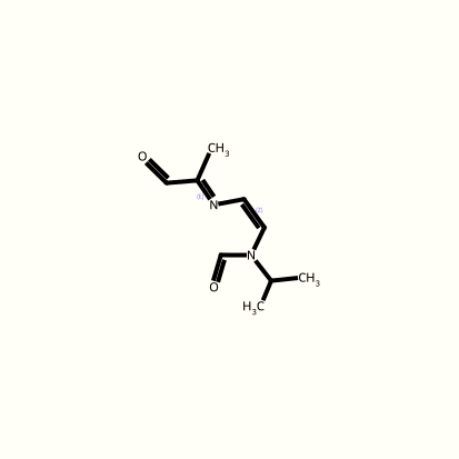 C/C(C=O)=N\C=C/N(C=O)C(C)C